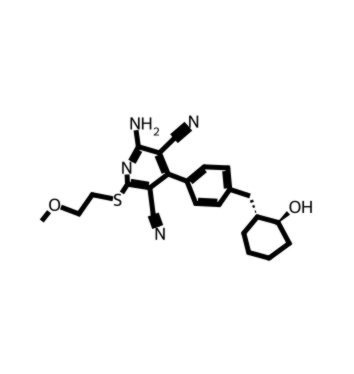 COCCSc1nc(N)c(C#N)c(-c2ccc(C[C@H]3CCCC[C@@H]3O)cc2)c1C#N